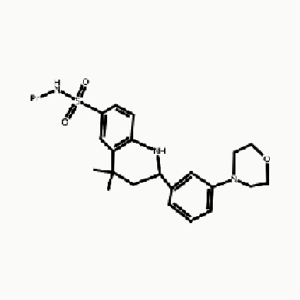 CC(C)NS(=O)(=O)c1ccc2c(c1)C(C)(C)CC(c1cccc(N3CCOCC3)c1)N2